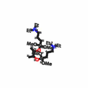 CCN(CC)CCC[Si](OC)(OC)OC(C)C(C)O[Si](CCCN(CC)CC)(OC)OC